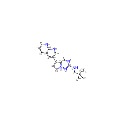 FC(F)(F)C1(CNc2ncc3c(-c4cnc5ncccc5c4)ccn3n2)CC1